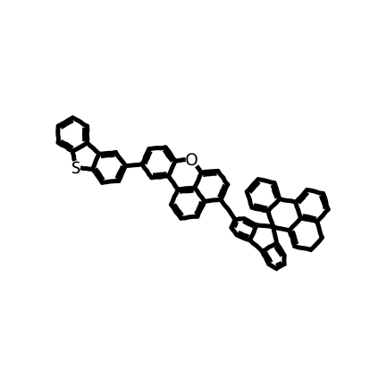 C1=C2c3c(cccc3-c3ccccc3C23c2ccccc2-c2ccc(-c4ccc5c6c(cccc46)-c4cc(-c6ccc7sc8ccccc8c7c6)ccc4O5)cc23)CC1